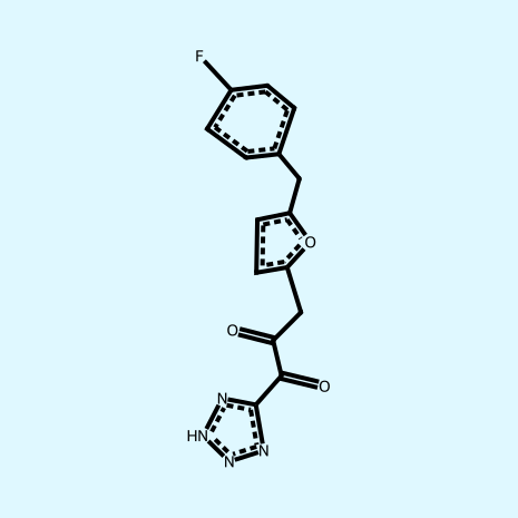 O=C(Cc1ccc(Cc2ccc(F)cc2)o1)C(=O)c1nn[nH]n1